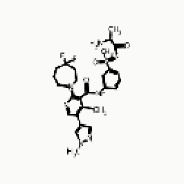 Cc1c(-c2cnn(C)c2)cnc(N2CCCC(F)(F)CC2)c1C(=O)Nc1cccc(S(C)(=O)=NC(=O)C(C)N)c1